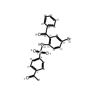 CC(=O)c1ccc(S(=O)(=O)Nc2ccc(Br)cc2C(=O)c2ccccc2)cc1